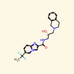 CC(F)(F)c1ccc2nc(C(=O)NC[C@H](O)CN3CCc4ccccc4C3)cn2c1